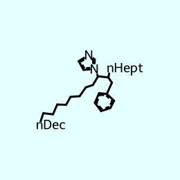 CCCCCCCCCCCCCCCCCCC(C(CCCCCCC)Cc1ccccc1)n1ccnc1